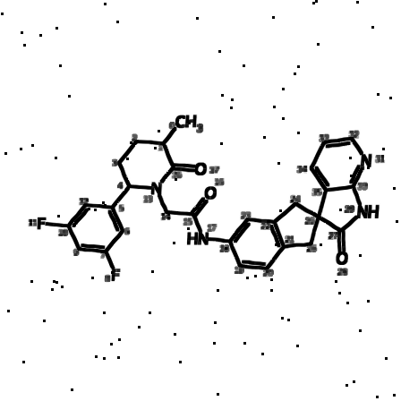 CC1CCC(c2cc(F)cc(F)c2)N(CC(=O)Nc2ccc3c(c2)CC2(C3)C(=O)Nc3ncccc32)C1=O